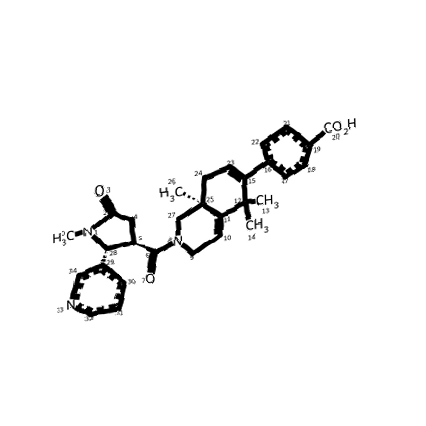 CN1C(=O)C[C@@H](C(=O)N2CC=C3C(C)(C)C(c4ccc(C(=O)O)cc4)=CC[C@]3(C)C2)[C@@H]1c1cccnc1